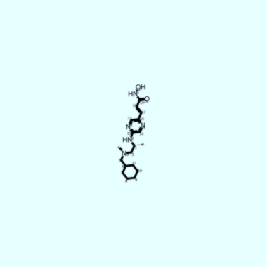 C[C@H](CN(C)CC1CCCCC1)Nc1cnc(/C=C/C(=O)NO)cn1